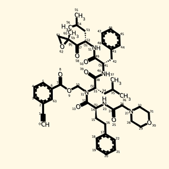 C#Cc1cccc(C(=O)OCN(C(=O)[C@H](CCc2ccccc2)NC(=O)CN2CCOCC2)[C@@H](CC(C)C)C(=O)N[C@@H](Cc2ccccc2)C(=O)N[C@@H](CC(C)C)C(=O)[C@@]2(C)CO2)c1